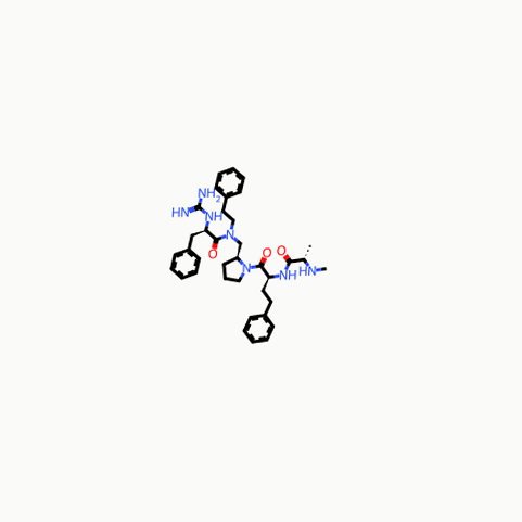 CN[C@@H](C)C(=O)N[C@@H](CCc1ccccc1)C(=O)N1CCC[C@H]1CN(CCc1ccccc1)C(=O)[C@@H](Cc1ccccc1)NC(=N)N